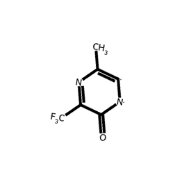 CC1=[C][N]C(=O)C(C(F)(F)F)=N1